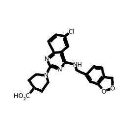 O=C(O)C1CCN(c2nc(NCc3ccc4c(c3)OOC4)c3cc(Cl)ccc3n2)CC1